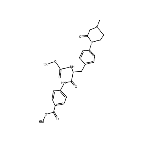 CN1CCN(c2ccc(C[C@H](NC(=O)OC(C)(C)C)C(=O)Nc3ccc(C(=O)OC(C)(C)C)cc3)cc2)C(=O)C1